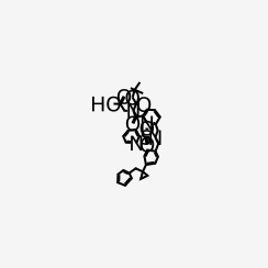 CC(C)(C)OC(=O)N(CC(=O)O)C(=O)c1cccc(CN(Cc2ccc(C3(Cc4ccccc4)CC3)cc2)S(=O)(=O)c2ccccn2)n1